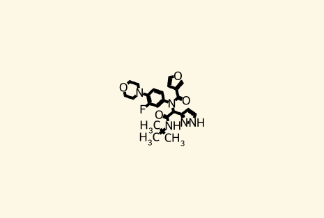 CC(C)(C)NC(=O)C(c1cc[nH]n1)N(C(=O)c1ccoc1)c1ccc(N2CCOCC2)c(F)c1